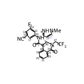 CN/C=C(\C=N)[C@H]1[C@H](C(=O)Nc2cc(F)cc(C#N)c2)c2ccccc2C(=O)N1CC(F)(F)F